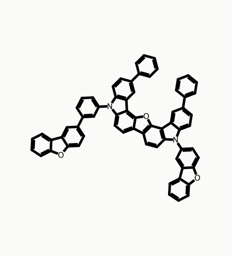 c1ccc(-c2ccc3c(c2)c2c4oc5c(ccc6c5c5cc(-c7ccccc7)ccc5n6-c5ccc6oc7ccccc7c6c5)c4ccc2n3-c2cccc(-c3ccc4oc5ccccc5c4c3)c2)cc1